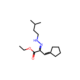 CCOC(=O)C(C=C1CCCC1)=NNCCC(C)C